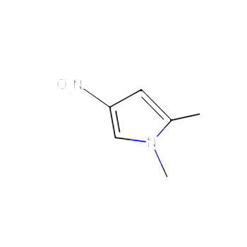 Cc1cc([N+](=O)[O-])cn1C